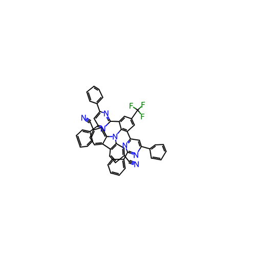 N#Cc1ccc2c3ccc(C#N)cc3n(-c3c(-c4cc(-c5ccccc5)nc(-c5ccccc5)n4)cc(C(F)(F)F)cc3-c3nc(-c4ccccc4)cc(-c4ccccc4)n3)c2c1